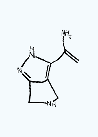 C=C(N)c1[nH]nc2c1CNC2